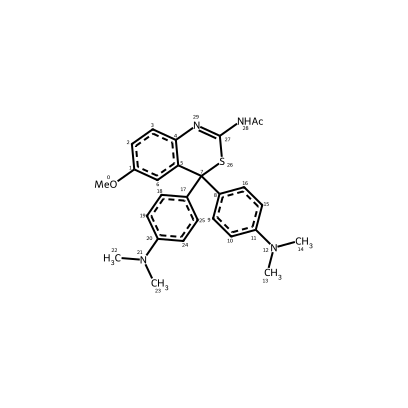 COc1ccc2c(c1)C(c1ccc(N(C)C)cc1)(c1ccc(N(C)C)cc1)SC(NC(C)=O)=N2